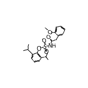 COc1ccccc1CC(=O)NS(=O)(=O)Oc1c(C(C)C)cccc1C(C)C